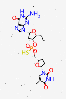 CC[C@H]1O[C@@H](n2cnc3c(=O)[nH]c(N)nc32)C[C@H]1OP(=O)(S)OC[C@@H]1CC[C@H](n2cc(C)c(=O)[nH]c2=O)O1